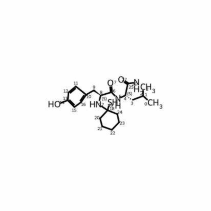 CC(C)C[C@H](NC(=O)[C@H](Cc1ccc(O)cc1)NC1(S)CCCCC1)C(N)=O